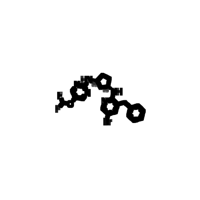 FC(F)Oc1cnc(N[C@H]2CC[C@H](Nc3ncc(Br)cc3Cc3ccccc3)C2)nc1